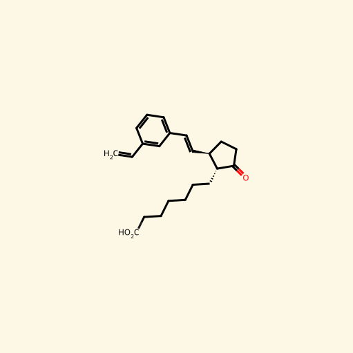 C=Cc1cccc(C=C[C@H]2CCC(=O)[C@@H]2CCCCCCC(=O)O)c1